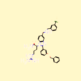 N=C(N)NCCCC(C(N)=O)n1c(-c2cccc(OCc3ccccc3)c2)nc2cc(C(=O)NCc3cccc(C(F)(F)F)c3)ccc21